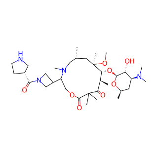 CO[C@]1(C)C[C@@H](C)CN(C)C(C2CN(C(=O)[C@@H]3CCNC3)C2)COC(=O)C(C)(C)C(=O)[C@H](C)[C@H]1O[C@@H]1O[C@H](C)C[C@H](N(C)C)[C@H]1O